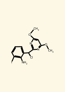 COc1cc(OC)nc(C(Cl)c2cccc(I)c2N)n1